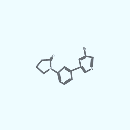 O=C1CCCN1c1cccc(-c2cncc(Br)c2)c1